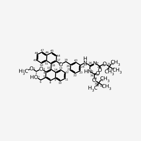 COCOc1c(CO)cc2ccccc2c1-c1c(OCc2cccc(N/C(=N/C(=O)OC(C)(C)C)NC(=O)OC(C)(C)C)c2)ccc2ccccc12